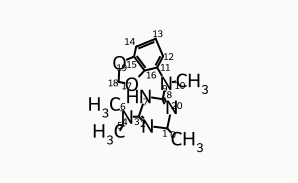 CC1N=C(N(C)C)NC(N(C)c2cccc3c2OCO3)=N1